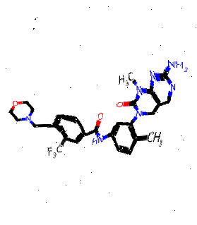 Cc1ccc(NC(=O)c2ccc(CN3CCOCC3)c(C(F)(F)F)c2)cc1N1Cc2cnc(N)nc2N(C)C1=O